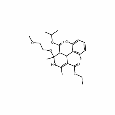 CCOC(=O)C1=C(C)NC(C)(OCCOC)C(C(=O)OC(C)C)C1c1c(F)cccc1Cl